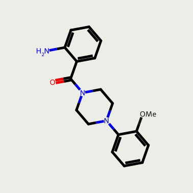 COc1ccccc1N1CCN(C(=O)c2ccccc2N)CC1